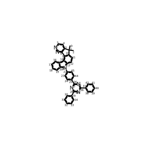 CC1(C)c2ccnnc2-c2c1ccc1c2c2ccccc2n1-c1ccc(-c2nc(-c3ccccc3)nc(-c3ccccc3)n2)cc1